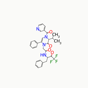 CC(C)C1C(=O)N(CC(=O)NC(Cc2ccccc2)C(=O)C(F)(F)F)C(c2ccccc2)=CN1C(=O)c1cccnc1